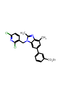 CCOC(=O)c1cccc(-c2cc(C)c3nc(C)n(Cc4ccc(Cl)nc4Cl)c3c2)c1